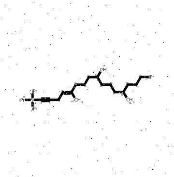 C/C(=C\CC#C[Si](C(C)C)(C(C)C)C(C)C)CCCC(C)CCCC(C)CCCC(C)C